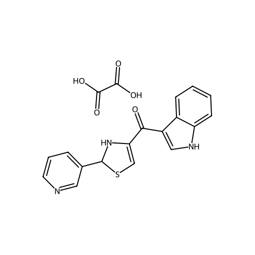 O=C(C1=CSC(c2cccnc2)N1)c1c[nH]c2ccccc12.O=C(O)C(=O)O